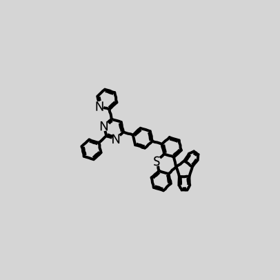 c1ccc(-c2nc(-c3ccc(-c4cccc5c4Sc4ccccc4C54c5ccccc5-c5ccccc54)cc3)cc(-c3ccccn3)n2)cc1